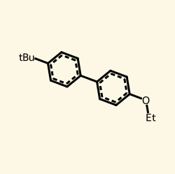 CCOc1ccc(-c2ccc(C(C)(C)C)cc2)cc1